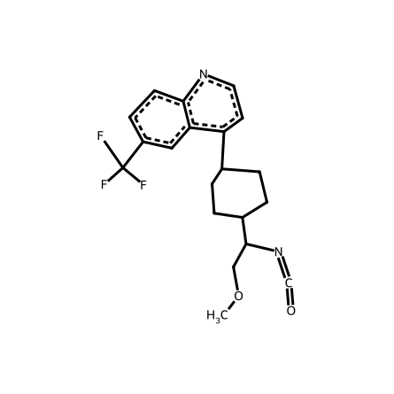 COCC(N=C=O)C1CCC(c2ccnc3ccc(C(F)(F)F)cc23)CC1